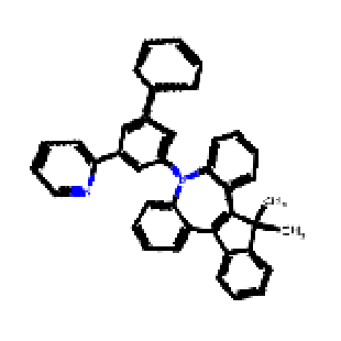 CC1(C)C2=C(c3ccccc3N(c3cc(-c4ccccc4)cc(-c4ccccn4)c3)c3ccccc32)c2ccccc21